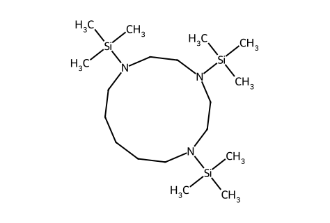 C[Si](C)(C)N1CCCCCN([Si](C)(C)C)CCN([Si](C)(C)C)CC1